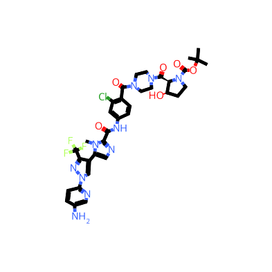 Cn1c(-c2cn(-c3ccc(N)cn3)nc2C(F)(F)F)cnc1C(=O)Nc1ccc(C(=O)N2CCN(C(=O)[C@@H]3[C@@H](O)CCN3C(=O)OC(C)(C)C)CC2)c(Cl)c1